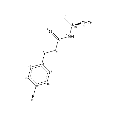 C[C@@H]([C]=O)NC(=O)CCc1ccc(F)cc1